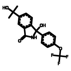 CC(C)(O)c1ccc2c(c1)C(=O)NC2(O)c1ccc(OC(F)(F)F)cc1